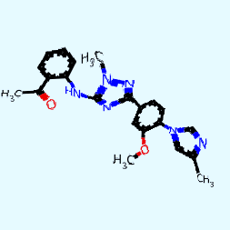 COc1cc(-c2nc(Nc3ccccc3C(C)=O)n(C)n2)ccc1-n1cnc(C)c1